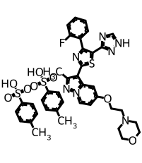 Cc1ccc(S(=O)(=O)O)cc1.Cc1ccc(S(=O)(=O)O)cc1.Cc1nn2ccc(OCCN3CCOCC3)cc2c1-c1nc(-c2ccccc2F)c(-c2nc[nH]n2)s1